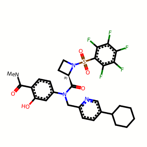 CNC(=O)c1ccc(N(Cc2ccc(C3CCCCC3)cn2)C(=O)[C@H]2CCN2S(=O)(=O)c2c(F)c(F)c(F)c(F)c2F)cc1O